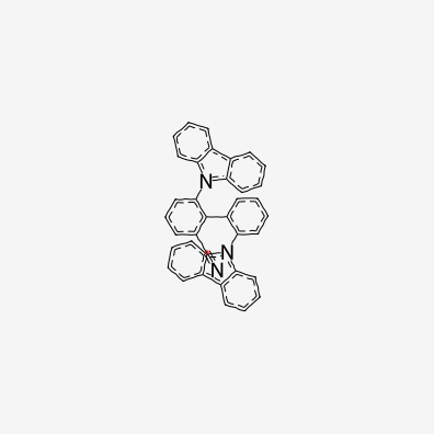 N#Cc1cccc(-n2c3ccccc3c3ccccc32)c1-c1ccccc1-n1c2ccccc2c2ccccc21